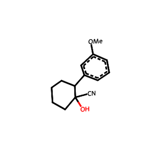 COc1cccc(C2CCCCC2(O)C#N)c1